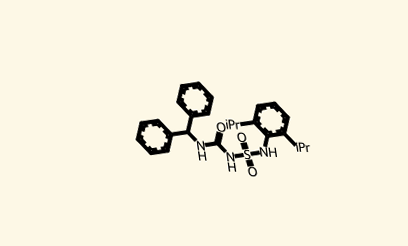 CC(C)c1cccc(C(C)C)c1NS(=O)(=O)NC(=O)NC(c1ccccc1)c1ccccc1